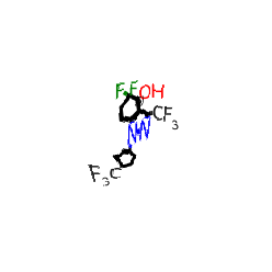 O[C@H]1c2c(C(F)(F)F)nn(C3CCC(C(F)(F)F)CC3)c2CCC1(F)F